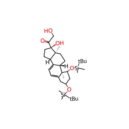 CC(C)(C)[Si](C)(C)OC1CC2=CC=C3[C@@H]4CC[C@](O)(C(=O)CO)[C@@]4(C)CC[C@@H]3[C@@]2(C)C(O[Si](C)(C)C(C)(C)C)C1